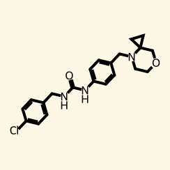 O=C(NCc1ccc(Cl)cc1)Nc1ccc(CN2CCOCC23CC3)cc1